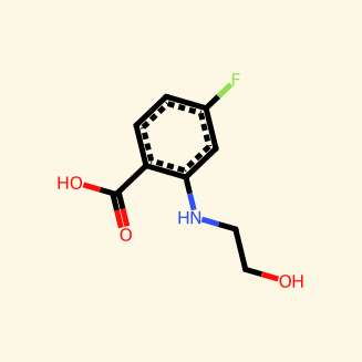 O=C(O)c1ccc(F)cc1NCCO